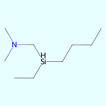 CCCC[SiH](CC)CN(C)C